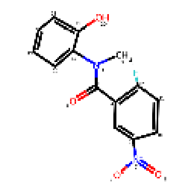 CN(C(=O)c1cc([N+](=O)[O-])ccc1F)c1ccccc1O